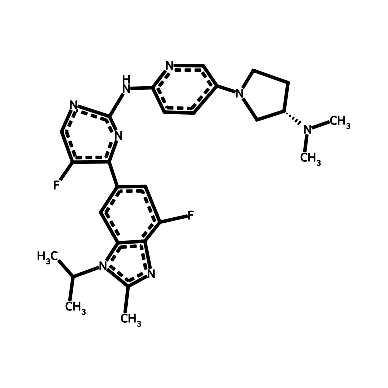 Cc1nc2c(F)cc(-c3nc(Nc4ccc(N5CC[C@H](N(C)C)C5)cn4)ncc3F)cc2n1C(C)C